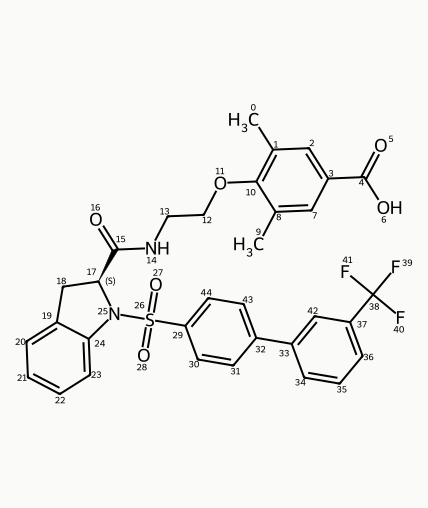 Cc1cc(C(=O)O)cc(C)c1OCCNC(=O)[C@@H]1Cc2ccccc2N1S(=O)(=O)c1ccc(-c2cccc(C(F)(F)F)c2)cc1